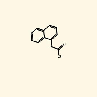 O=C(O)[N]c1cccc2ccccc12